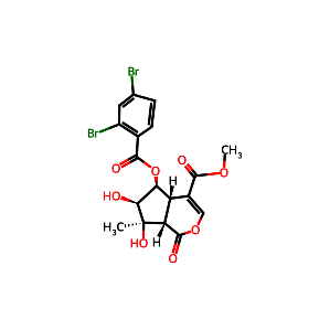 COC(=O)C1=COC(=O)[C@H]2[C@@H]1[C@H](OC(=O)c1ccc(Br)cc1Br)[C@H](O)[C@]2(C)O